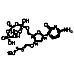 CC(C)(C)SSCO[C@@H]1C[C@H](n2ccc(N)nc2=O)O[C@@H]1COP(=O)(O)OP(=O)(O)OP(=O)(O)O